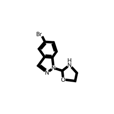 Brc1ccc2c(cnn2C2NCCO2)c1